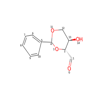 O=C[C@@H]1OC(c2ccccc2)OC[C@H]1O